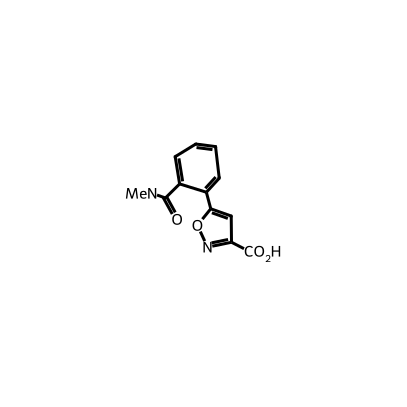 CNC(=O)c1ccccc1-c1cc(C(=O)O)no1